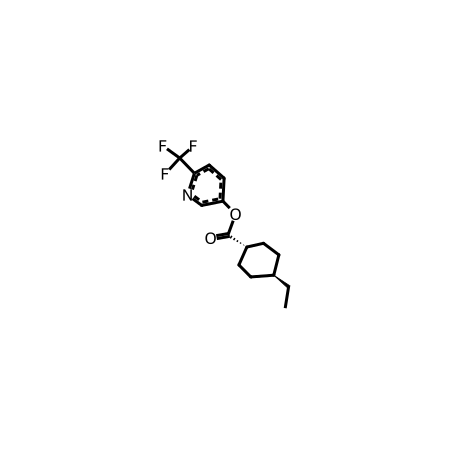 CC[C@H]1CC[C@H](C(=O)Oc2ccc(C(F)(F)F)nc2)CC1